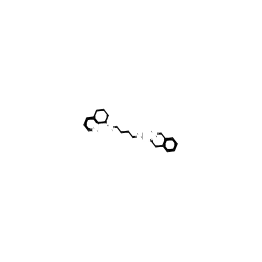 c1ccc2c(c1)CN[C@@H](CNCCCCN[C@H]1CCCc3cccnc31)C2